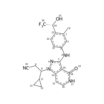 Cc1cc(Nc2nn(C(CC#N)C3CC3)c3cc[nH]c(=O)c23)ccc1[C@@H](O)C(F)(F)F